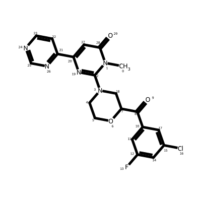 Cn1c(N2CCOC(C(=O)c3cc(F)cc(Cl)c3)C2)nc(-c2ccncn2)cc1=O